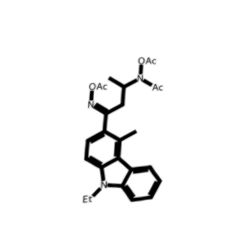 CCn1c2ccccc2c2c(C)c(/C(CC(C)N(OC(C)=O)C(C)=O)=N/OC(C)=O)ccc21